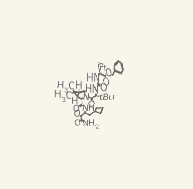 CC(C)C(NC(=O)N[C@H](C(=O)N1C[C@H]2[C@@H]([C@H]1C(=O)NC(CC1CCC1)C(=O)C(N)=O)C2(C)C)C(C)(C)C)C(=O)OCc1ccccc1